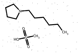 CCCCCCN1CCCC1.CS(=O)(=O)O